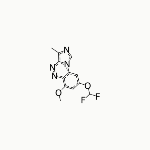 COc1cc(OC(F)F)cc2c1nnc1c(C)ncn12